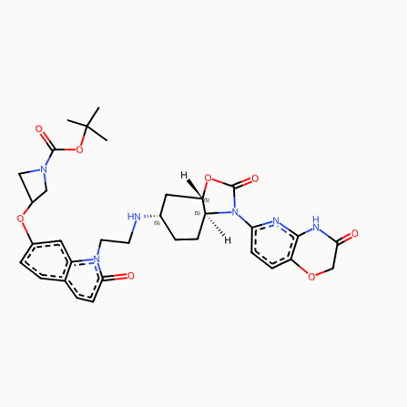 CC(C)(C)OC(=O)N1CC(Oc2ccc3ccc(=O)n(CCN[C@H]4CC[C@H]5[C@H](C4)OC(=O)N5c4ccc5c(n4)NC(=O)CO5)c3c2)C1